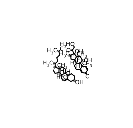 CC(C)CCC[C@@H](C)[C@H]1CC[C@H]2[C@@H]3CC=C4C[C@@H](O)CC[C@]4(C)[C@H]3CC[C@]12C.C[C@@H]1C[C@H]2[C@@H]3CCC4=CC(=O)C=C[C@]4(C)[C@@]3(F)[C@@H](O)C[C@]2(C)[C@@]1(O)C(=O)CO